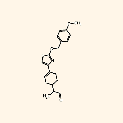 COc1ccc(COc2nc(C3=CCC(C(C)C=O)CC3)cs2)cc1